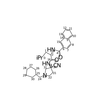 CC(C)CC(NC(=O)c1ccc2ccccc2c1)C(=O)NC1(C#N)CCN(CC2CCCCC2)C1